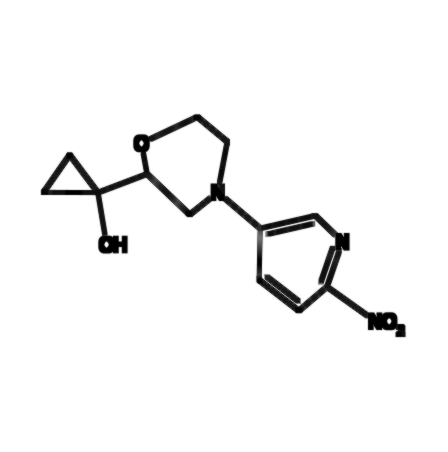 O=[N+]([O-])c1ccc(N2CCOC(C3(O)CC3)C2)cn1